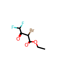 CCOC(=O)C(Br)C(=O)C(F)F